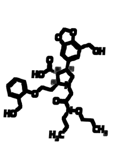 CCCON(CCC)C(=O)CN1C[C@H](c2cc(CO)c3c(c2)OCO3)[C@@H](C(=O)O)[C@@H]1CCOc1ccccc1CO